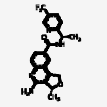 C[C@@H](NC(=O)c1ccc2nc(N)c3c(c2c1)CO[C@@H]3C)c1ccc(C(F)(F)F)cn1